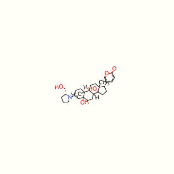 C[C@]12CC[C@H](N3CCC[C@@H]3CO)C[C@@]1(O)CC[C@@H]1[C@@H]2CC[C@]2(C)[C@@H](c3ccc(=O)oc3)CC[C@]12O